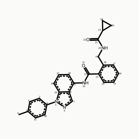 Cc1ccc(-n2ncc3c(NC(=O)c4ccccc4CNC(=O)C4CC4)cccc32)cc1